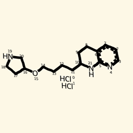 Cl.Cl.c1cnc2c(c1)CCC(CCCCOC1CCNC1)N2